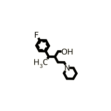 CC(c1ccc(F)cc1)C(CO)CCN1CCCCC1